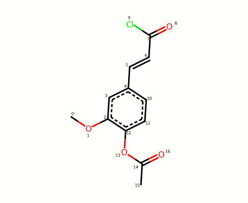 COc1cc(/C=C/C(=O)Cl)ccc1OC(C)=O